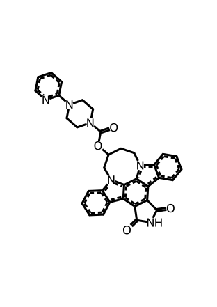 O=C1NC(=O)c2c1c1c3ccccc3n3c1c1c2c2ccccc2n1CC(OC(=O)N1CCN(c2ccccn2)CC1)CC3